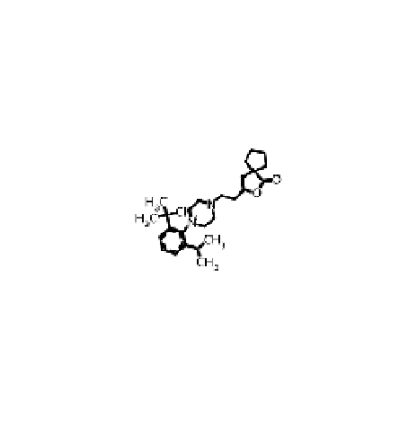 CC(C)c1cccc(C(C)(C)C)c1N1CCN(CCC2CC3(CCCC3)C(=O)O2)CC1